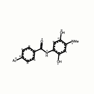 CNc1cc(O)c(NC(=O)c2ccc(C(C)=O)cc2)cc1O